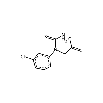 C=C(Cl)CN(C(N)=S)c1cccc(Cl)c1